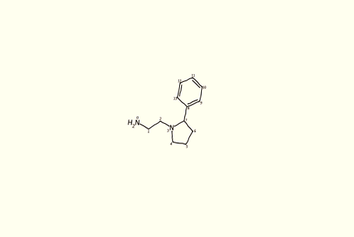 NCCN1CCCC1c1ccccc1